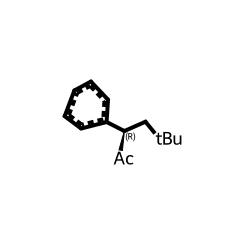 CC(=O)[C@H](CC(C)(C)C)c1ccccc1